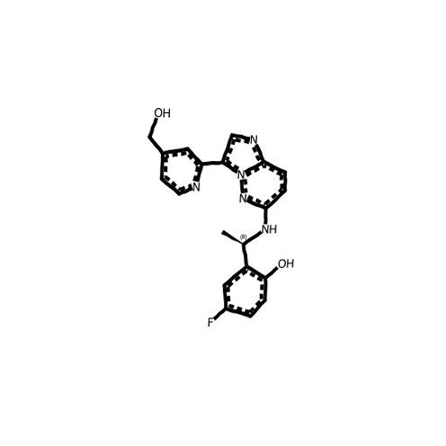 C[C@@H](Nc1ccc2ncc(-c3cc(CO)ccn3)n2n1)c1cc(F)ccc1O